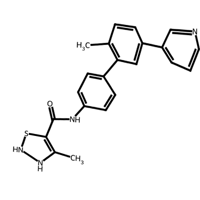 CC1=C(C(=O)Nc2ccc(-c3cc(-c4cccnc4)ccc3C)cc2)SNN1